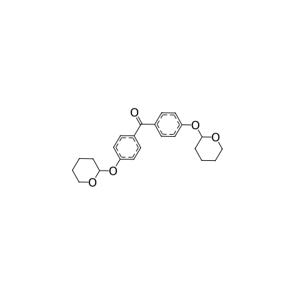 O=C(c1ccc(OC2CCCCO2)cc1)c1ccc(OC2CCCCO2)cc1